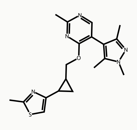 Cc1ncc(-c2c(C)nn(C)c2C)c(OCC2CC2c2csc(C)n2)n1